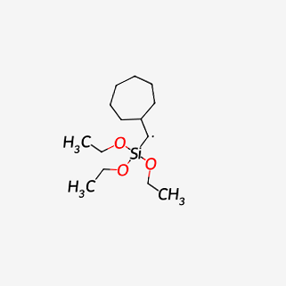 CCO[Si]([CH]C1CCCCCC1)(OCC)OCC